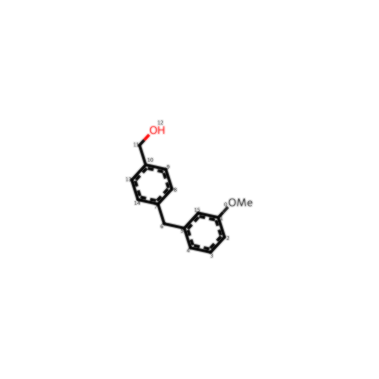 COc1cccc(Cc2ccc(CO)cc2)c1